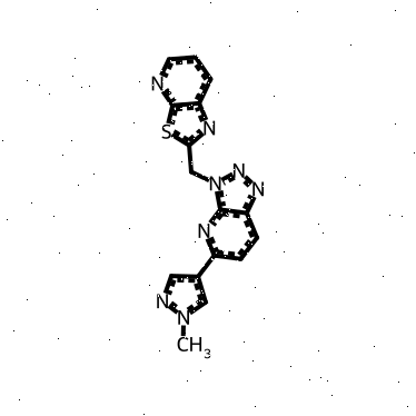 Cn1cc(-c2ccc3nnn(Cc4nc5cccnc5s4)c3n2)cn1